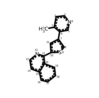 Cc1ccncc1-c1csc(-c2nccc3ccccc23)c1